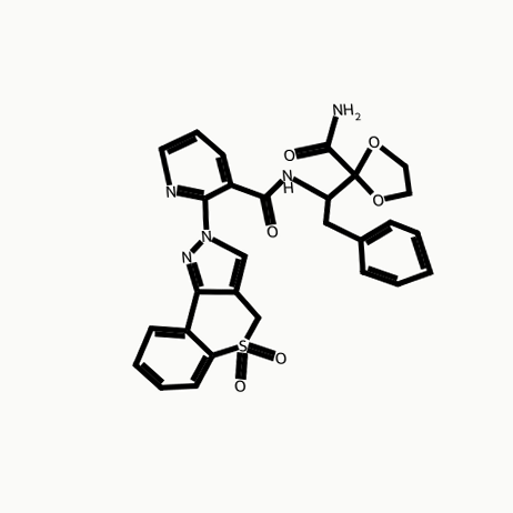 NC(=O)C1(C(Cc2ccccc2)NC(=O)c2cccnc2-n2cc3c(n2)-c2ccccc2S(=O)(=O)C3)OCCO1